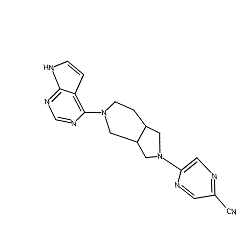 N#Cc1cnc(N2CC3CCN(c4ncnc5[nH]ccc45)CC3C2)cn1